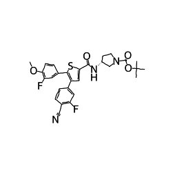 COc1ccc(-c2sc(C(=O)N[C@@H]3CCN(C(=O)OC(C)(C)C)C3)cc2-c2ccc(C#N)c(F)c2)cc1F